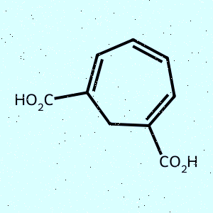 O=C(O)C1=CC=CC=C(C(=O)O)C1